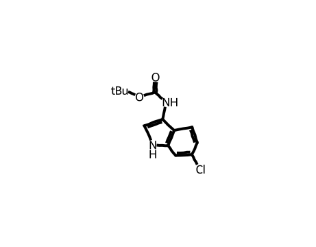 CC(C)(C)OC(=O)Nc1c[nH]c2cc(Cl)ccc12